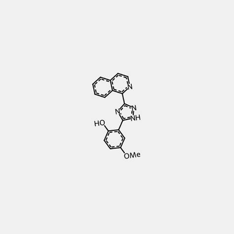 COc1ccc(O)c(-c2nc(-c3nccc4ccccc34)n[nH]2)c1